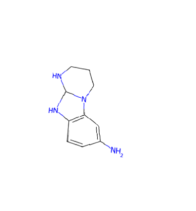 Nc1ccc2c(c1)N1CCCNC1N2